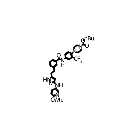 CCCCOC(=O)N1CCN(c2ccc(NC(=O)c3cccc(CCc4cc(Nc5ccc(OC)nc5)n[nH]4)c3)cc2C(F)(F)F)CC1